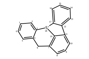 c1ccc2c(c1)Cc1cccc3c4ccccc4[s+]-2c13